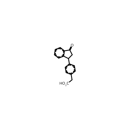 O=C(O)Cc1ccc(C2CC(=O)c3ccccc32)cc1